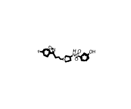 O=S(=O)(NC1CCN(CCCc2noc3cc(F)ccc23)C1)c1cccc(O)c1